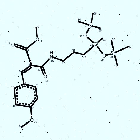 COC(=O)/C(=C/c1ccc(OC)cc1)C(=O)NCCC[Si](C)(O[Si](C)(C)C)O[Si](C)(C)C